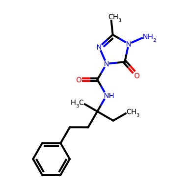 CCC(C)(CCc1ccccc1)NC(=O)n1nc(C)n(N)c1=O